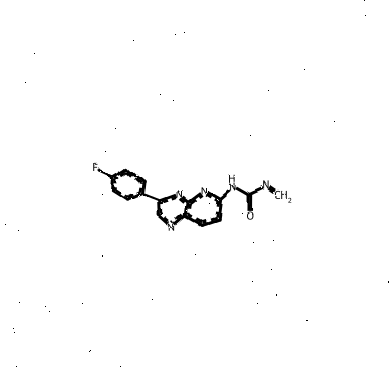 C=NC(=O)Nc1ccc2ncc(-c3ccc(F)cc3)nc2n1